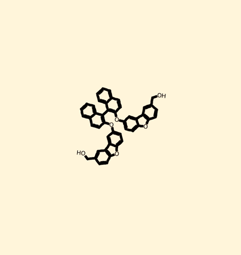 OCc1ccc2oc3ccc(Oc4ccc5ccccc5c4-c4c(Oc5ccc6oc7ccc(CO)cc7c6c5)ccc5ccccc45)cc3c2c1